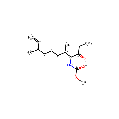 C=CC(C)CCC[C@@H](C)C(NC(=O)OC(C)(C)C)C(=O)COC